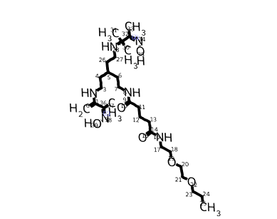 C=C(NCCC(CCNC(=O)CCCC(=O)NCCOCCOCCC)CCNC(C)(C)/C(C)=N\O)/C(C)=N\O